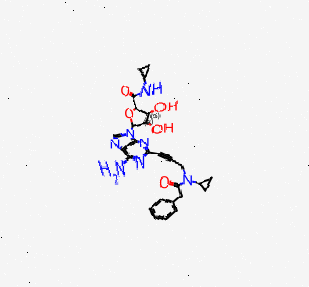 Nc1nc(C#CCN(C(=O)Cc2ccccc2)C2CC2)nc2c1ncn2C1OC(C(=O)NC2CC2)[C@@H](O)[C@H]1O